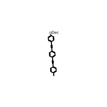 CCCCCCCCCCc1ccc(C#Cc2ccc(C#Cc3ccc(C)cc3)cc2)cc1